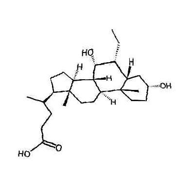 CC[C@H]1[C@@H](O)[C@@H]2[C@H](CC[C@]3(C)[C@@H](C(C)CCC(=O)O)CC[C@@H]23)[C@@]2(C)CC[C@@H](O)C[C@@H]12